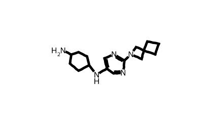 NC1CCC(Nc2cnc(N3CC4(CCC4)C3)nc2)CC1